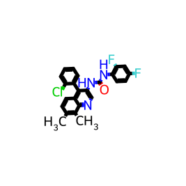 Cc1ccc2c(-c3ccccc3Cl)c(NC(=O)Nc3ccc(F)cc3F)cnc2c1C